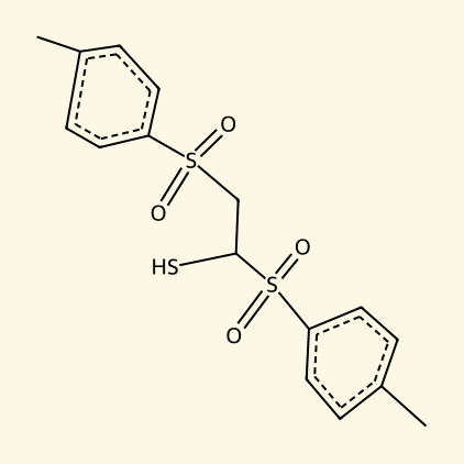 Cc1ccc(S(=O)(=O)CC(S)S(=O)(=O)c2ccc(C)cc2)cc1